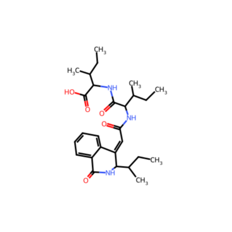 CCC(C)C(NC(=O)C(NC(=O)/C=C1\c2ccccc2C(=O)NC1C(C)CC)C(C)CC)C(=O)O